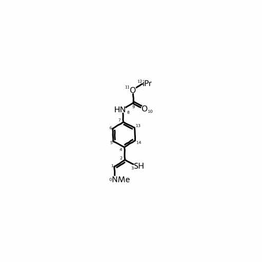 CN/C=C(\S)c1ccc(NC(=O)OC(C)C)cc1